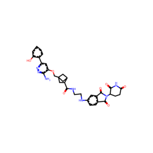 Nc1nnc(-c2ccccc2O)cc1OCC12CC(C1)C(C(=O)NCCNc1ccc3c(c1)C(=O)N(C1CCC(=O)NC1=O)C3=O)C2